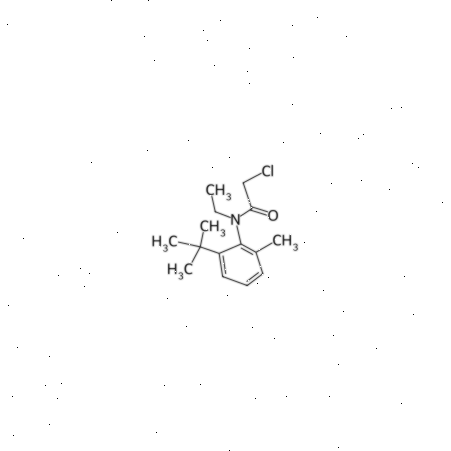 CCN(C(=O)CCl)c1c(C)cccc1C(C)(C)C